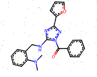 CN(C)c1ccccc1CNc1nc(-c2ccco2)nn1C(=O)c1ccccc1